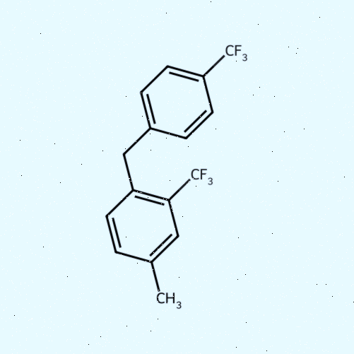 Cc1ccc(Cc2ccc(C(F)(F)F)cc2)c(C(F)(F)F)c1